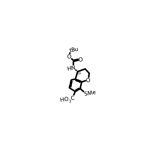 CSc1c(C(=O)O)ccc2c1OCC[C@@H]2NC(=O)OC(C)(C)C